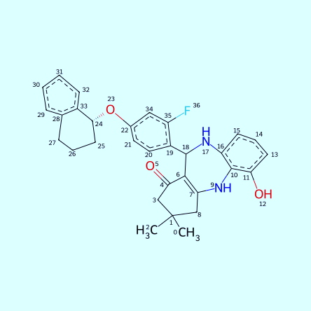 CC1(C)CC(=O)C2=C(C1)Nc1c(O)cccc1NC2c1ccc(O[C@@H]2CCCc3ccccc32)cc1F